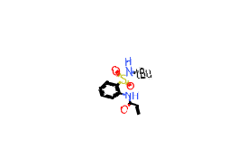 C=CC(=O)Nc1ccccc1S(=O)(=O)NC(C)(C)C